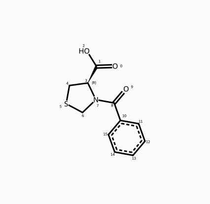 O=C(O)[C@@H]1CSCN1C(=O)c1ccccc1